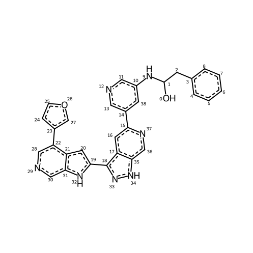 OC(Cc1ccccc1)Nc1cncc(-c2cc3c(-c4cc5c(-c6ccoc6)cncc5[nH]4)n[nH]c3cn2)c1